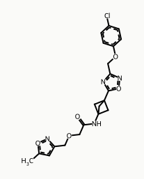 Cc1cc(COCC(=O)NC23CC(c4nc(COc5ccc(Cl)cc5)no4)(C2)C3)no1